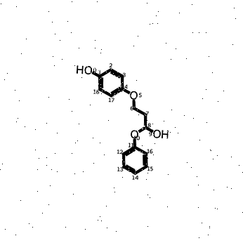 Oc1ccc(OCCC(O)Oc2ccccc2)cc1